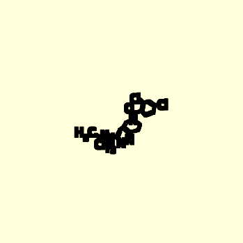 CC(C)=NNc1cc2c(nn1)CCN(C(=O)c1ccc(Cl)cc1Cl)C2